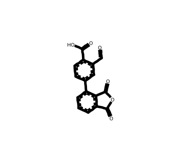 O=Cc1cc(-c2cccc3c2C(=O)OC3=O)ccc1C(=O)O